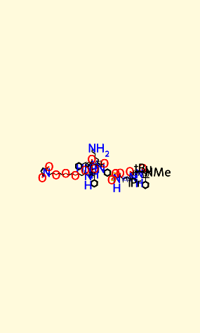 CN[C@H](C(=O)N[C@H](C(=O)N(C)[C@H](/C=C(\C)C(=O)NS(=O)(=O)c1ccc(NC(=O)[C@H](CCCCN)NC(=O)[C@H](Cc2ccccc2)NC(=O)[C@@H](Cc2ccccc2)NC(=O)CCOCCOCCOCCN2C(=O)C=CC2=O)cc1)C(C)C)C(C)(C)C)C(C)(C)c1ccccc1